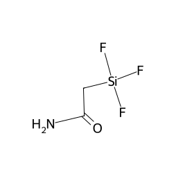 NC(=O)C[Si](F)(F)F